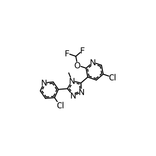 Cn1c(-c2cnccc2Cl)nnc1-c1cc(Cl)cnc1OC(F)F